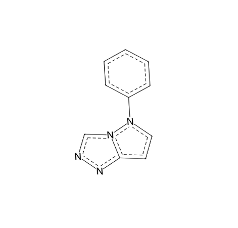 c1ccc(-n2ccc3nncn32)cc1